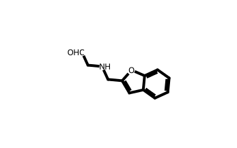 O=CCNCc1cc2ccccc2o1